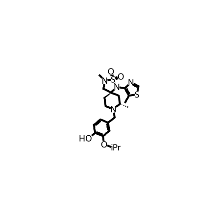 Cc1scnc1N1[C@@]2(CCN(Cc3ccc(O)c(OC(C)C)c3)[C@@H](C)C2)CN(C)S1(=O)=O